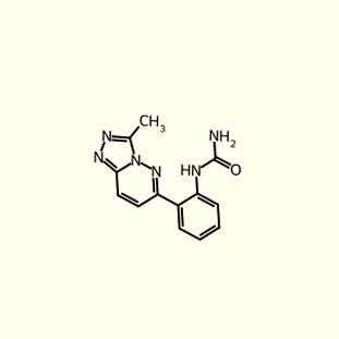 Cc1nnc2ccc(-c3ccccc3NC(N)=O)nn12